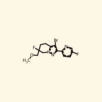 COCC1(F)CCc2c(Br)c(-c3ccc(F)cn3)nn2C1